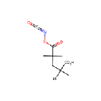 CCC(C)(CC(C)(C)C(=O)ON=C=O)C(=O)O